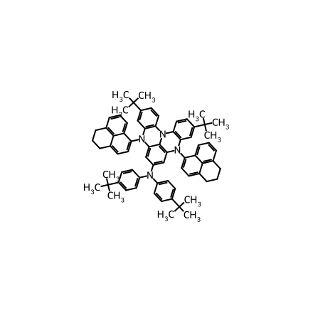 CC(C)(C)c1ccc(N(c2ccc(C(C)(C)C)cc2)c2cc3c4c(c2)N(c2ccc5c6c(cccc26)CCC5)c2cc(C(C)(C)C)ccc2N4c2ccc(C(C)(C)C)cc2N3c2ccc3c4c(cccc24)CCC3)cc1